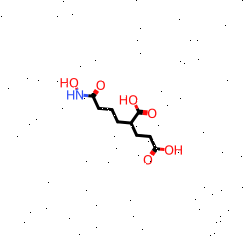 O=C(O)CCC(CCCC(=O)NO)C(=O)O